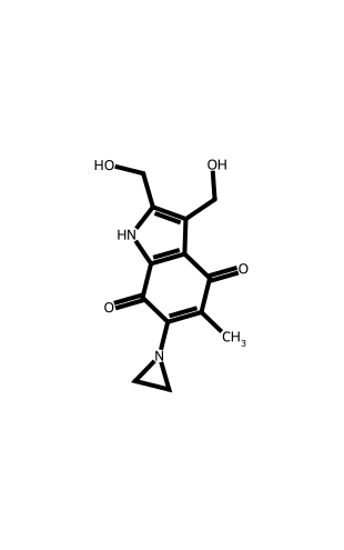 CC1=C(N2CC2)C(=O)c2[nH]c(CO)c(CO)c2C1=O